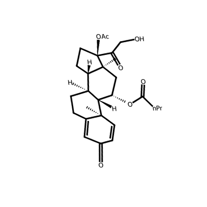 CCCC(=O)O[C@H]1C[C@@]2(C)[C@@H](CC[C@]2(OC(C)=O)C(=O)CO)[C@@H]2CCC3=CC(=O)C=C[C@]3(C)[C@H]21